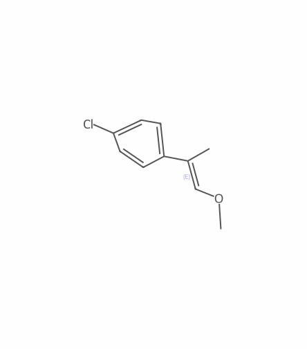 CO/C=C(\C)c1ccc(Cl)cc1